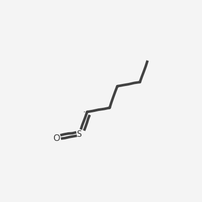 CCCC[C]=S=O